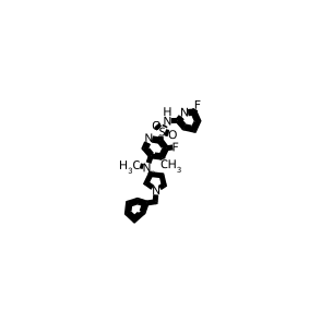 Cc1c(N(C)[C@H]2CCN(Cc3ccccc3)C2)cnc(S(=O)(=O)Nc2cccc(F)n2)c1F